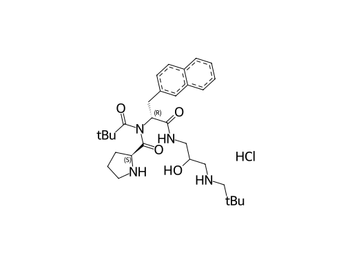 CC(C)(C)CNCC(O)CNC(=O)[C@@H](Cc1ccc2ccccc2c1)N(C(=O)[C@@H]1CCCN1)C(=O)C(C)(C)C.Cl